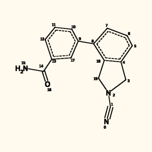 N#CN1Cc2cccc(-c3cccc(C(N)=O)c3)c2C1